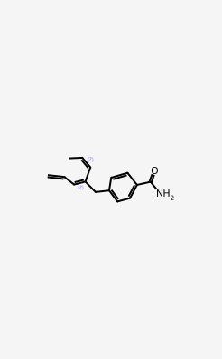 C=C/C=C(\C=C/C)Cc1ccc(C(N)=O)cc1